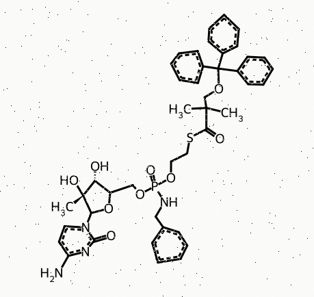 CC(C)(COC(c1ccccc1)(c1ccccc1)c1ccccc1)C(=O)SCCOP(=O)(NCc1ccccc1)OCC1OC(n2ccc(N)nc2=O)[C@](C)(O)[C@@H]1O